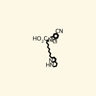 N#Cc1ccc(Cl)c(CN[C@@H](CCCCCCCc2ccc3c(n2)NCCC3)C(=O)O)c1